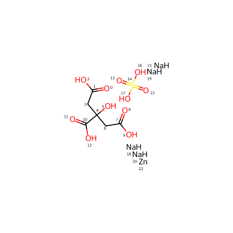 O=C(O)CC(O)(CC(=O)O)C(=O)O.O=S(=O)(O)O.[NaH].[NaH].[NaH].[NaH].[Zn]